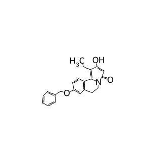 CCc1c(O)cc(=O)n2c1-c1ccc(OCc3ccccc3)cc1CC2